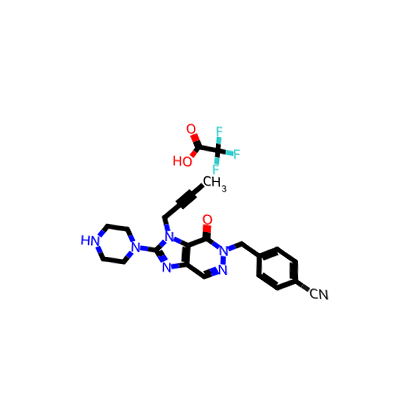 CC#CCn1c(N2CCNCC2)nc2cnn(Cc3ccc(C#N)cc3)c(=O)c21.O=C(O)C(F)(F)F